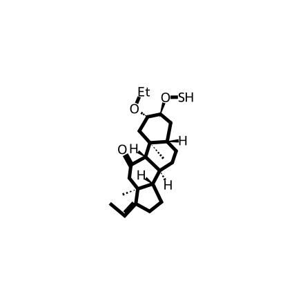 C/C=C1/CC[C@H]2[C@@H]3CC[C@H]4C[C@H](OS)[C@@H](OCC)C[C@]4(C)[C@H]3C(=O)C[C@]12C